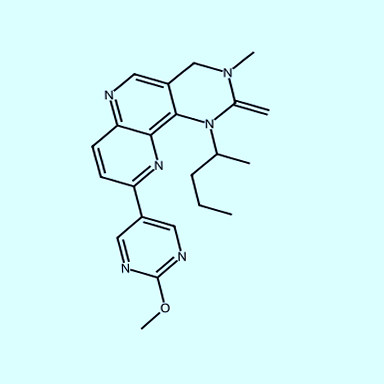 C=C1N(C)Cc2cnc3ccc(-c4cnc(OC)nc4)nc3c2N1C(C)CCC